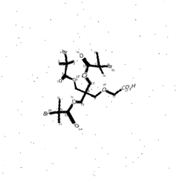 CC(C)(Br)C(=O)OCC(COCC(=O)O)(COC(=O)C(C)(C)Br)COC(=O)C(C)(C)Br